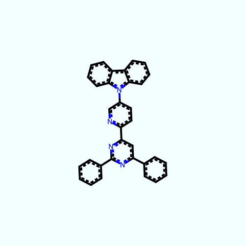 c1ccc(-c2cc(-c3ccc(-n4c5ccccc5c5ccccc54)cn3)nc(-c3ccccc3)n2)cc1